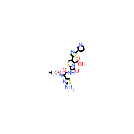 CO/N=C(\C(=O)NC1C(=O)N2C(C(=O)O)=C(c3cnc(-c4cccnc4)s3)CSC12)c1csc(N)n1